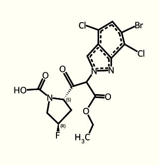 CCOC(=O)C(C(=O)[C@@H]1C[C@@H](F)CN1C(=O)O)n1cc2c(Cl)cc(Br)c(Cl)c2n1